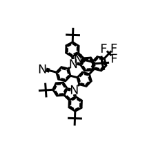 CC(C)(C)c1ccc2c(c1)c1cc(C(C)(C)C)ccc1n2-c1ccc(-c2ccc(C(F)(F)F)cc2C#N)cc1-c1ccc(C#N)cc1-n1c2ccc(C(C)(C)C)cc2c2cc(C(C)(C)C)ccc21